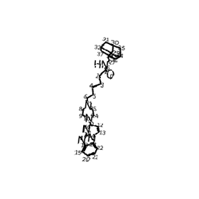 O=C(CCCCCN1CCN(c2ccn3c(n2)nc2ccccc23)CC1)NCC12CC3CC(CC(C3)C1)C2